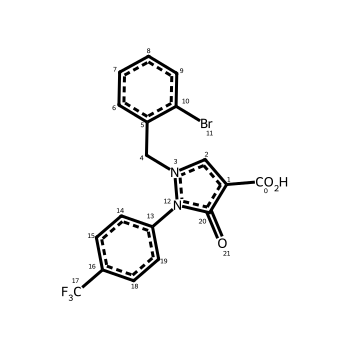 O=C(O)c1cn(Cc2ccccc2Br)n(-c2ccc(C(F)(F)F)cc2)c1=O